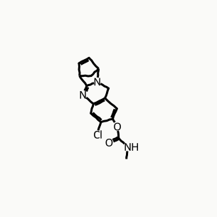 CNC(=O)Oc1cc2c(cc1Cl)N=C1C3C=CC(C3)N1C2